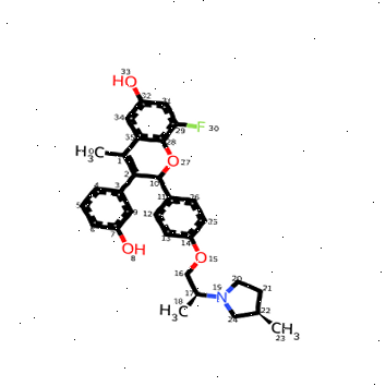 CC1=C(c2cccc(O)c2)C(c2ccc(OC[C@H](C)N3CC[C@@H](C)C3)cc2)Oc2c(F)cc(O)cc21